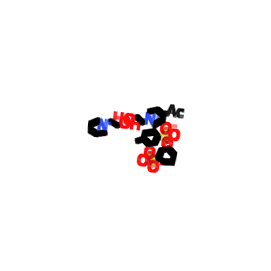 CC(=O)c1cc[n+](CCO)cc1.Cc1ccc(S(=O)(=O)[O-])cc1.O=S(=O)([O-])c1ccccc1.OCC[n+]1ccccc1